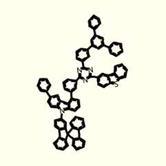 c1ccc(-c2cc(-c3ccccc3)cc(-c3cccc(-c4nc(-c5cccc(-c6cccc7c6c6cc(-c8ccccc8)ccc6n7-c6ccc7c(c6)C6(c8ccccc8-c8ccccc86)c6ccccc6-7)c5)nc(-c5ccc6sc7ccccc7c6c5)n4)c3)c2)cc1